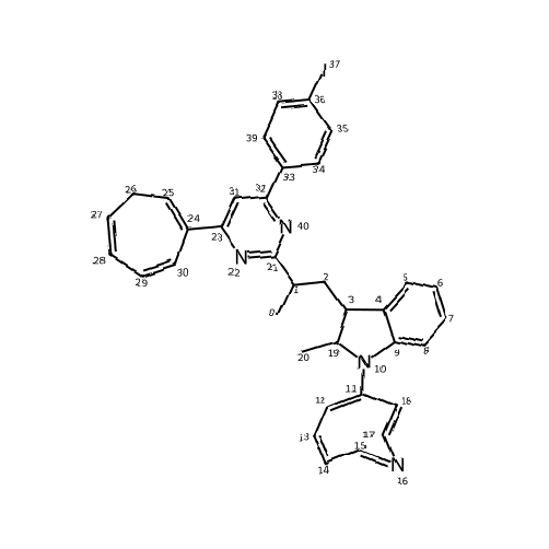 CC(CC1c2ccccc2N(C2=C/C=C\C=N\C=C\2)C1C)c1nc(C2=CCC=CC=C2)cc(-c2ccc(I)cc2)n1